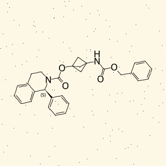 O=C(NC12CC(OC(=O)N3CCc4ccccc4[C@@H]3c3ccccc3)(C1)C2)OCc1ccccc1